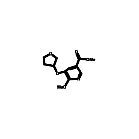 COC(=O)c1cnc(OC)c(OC2CCOC2)c1